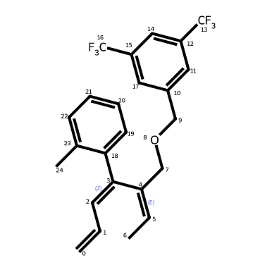 C=C/C=C(\C(=C/C)COCc1cc(C(F)(F)F)cc(C(F)(F)F)c1)c1ccccc1C